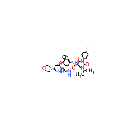 Cc1cc(NC(=O)c2cn(C(C)C)c(=O)n(-c3ccc(F)cc3)c2=O)ccc1OC1=CC(N2CCOCC2)=CN/C1=C\C=N